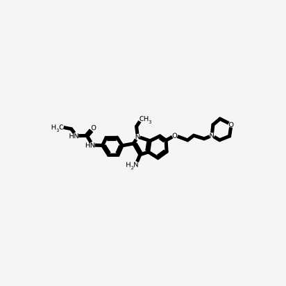 CCNC(=O)Nc1ccc(-c2c(N)c3ccc(OCCCN4CCOCC4)cc3n2CC)cc1